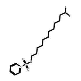 O=S(=O)(OCCCCCCCCCCCC(F)F)[n+]1ccccc1